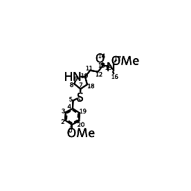 COc1ccc(CSC2CNC(CCC(=O)N(C)OC)C2)cc1